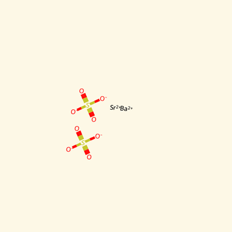 O=S(=O)([O-])[O-].O=S(=O)([O-])[O-].[Ba+2].[Sr+2]